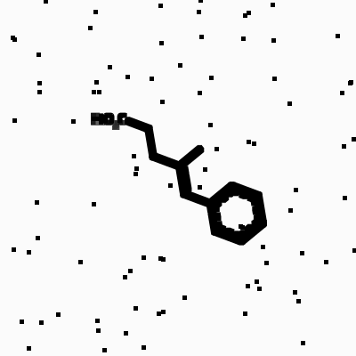 CCOC(=O)CC/C(C)=C/c1ccccc1